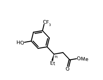 CC[C@H](CC(=O)OC)c1cc(O)cc(C(F)(F)F)c1